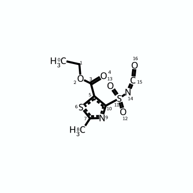 CCOC(=O)c1sc(C)nc1S(=O)(=O)N=C=O